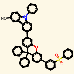 N#Cc1ccc2c(c1)c1cc(-c3ccc4c(c3)Oc3cc(-c5cccc(S(=O)(=O)c6ccccc6)c5)ccc3C4(c3ccccc3)c3ccccc3)ccc1n2-c1ccccc1